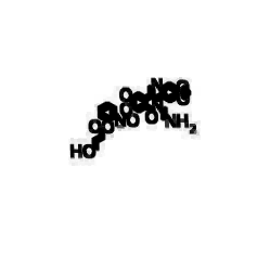 COc1cc2c(cc1OC(=O)N(C)c1ccccc1OC(=O)CCCO)c(=O)n(CCN)c1c3cc4c(cc3ncc21)OCO4